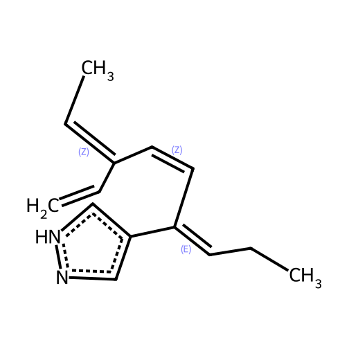 C=CC(/C=C\C(=C/CC)c1cn[nH]c1)=C/C